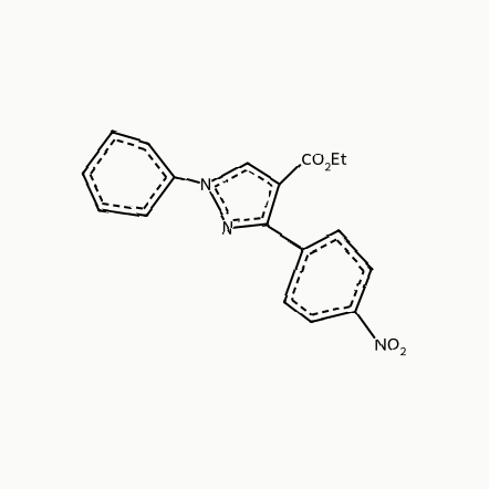 CCOC(=O)c1cn(-c2ccccc2)nc1-c1ccc([N+](=O)[O-])cc1